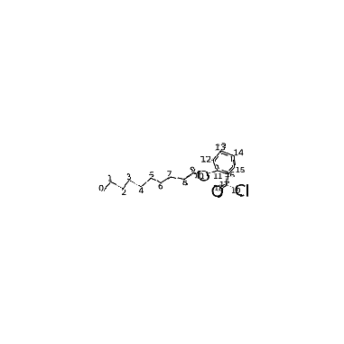 CCCCCCCCCCOc1ccccc1C(=O)Cl